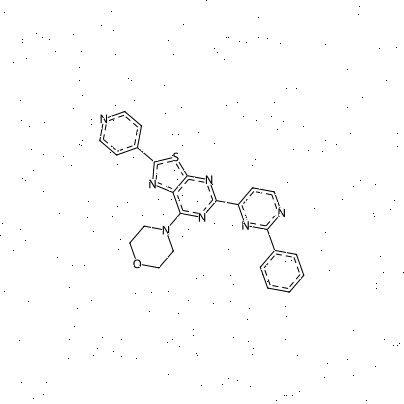 c1ccc(-c2nccc(-c3nc(N4CCOCC4)c4nc(-c5ccncc5)sc4n3)n2)cc1